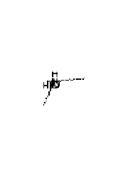 CCCCCCCCCCCCCCCC(=O)N[C@@H](CC(C)C)C(=O)NCCCCCCCCCCCC